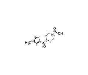 Cn1cc(C(=O)C2CCN(C(=O)O)CC2)cn1